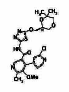 COc1c(C)ncc(C(=O)Nc2nnc(OC[C@@H]3COCC(C)(C)O3)s2)c1-c1ccnc(Cl)c1